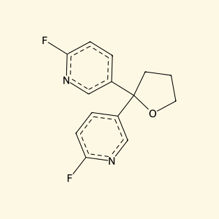 Fc1ccc(C2(c3ccc(F)nc3)CCCO2)cn1